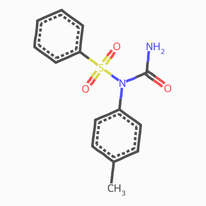 Cc1ccc(N(C(N)=O)S(=O)(=O)c2ccccc2)cc1